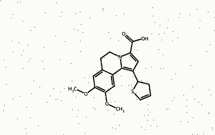 COc1cc2c(cc1OC)-c1c(C3CC=CS3)cc(C(=O)O)n1CC2